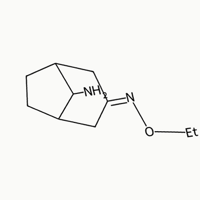 CCON=C1CC2CCC(C1)C2N